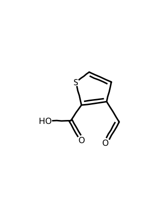 O=Cc1ccsc1C(=O)O